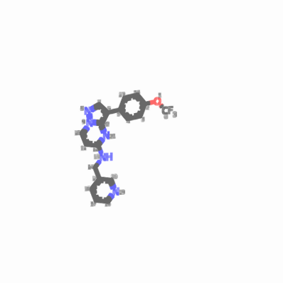 FC(F)(F)Oc1ccc(-c2cnn3ccc(NCc4cccnc4)nc23)cc1